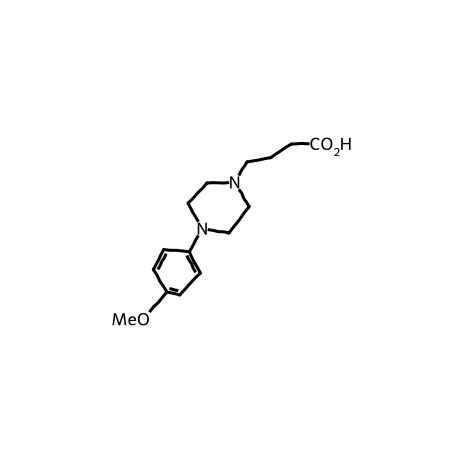 COc1ccc(N2CCN(CCCC(=O)O)CC2)cc1